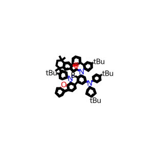 CC(C)(C)c1ccc(N2B3c4c(cc(N(c5ccc(C(C)(C)C)cc5)c5ccc(C(C)(C)C)cc5)cc4N(c4ccc(C(C)(C)C)cc4-c4ccccc4)c4oc5cc6c(cc5c43)C(C)(C)CCC6(C)C)-c3ccc4c(oc5ccccc54)c32)cc1